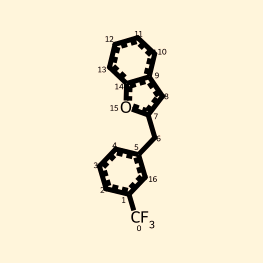 FC(F)(F)c1cccc(Cc2cc3[c]cccc3o2)c1